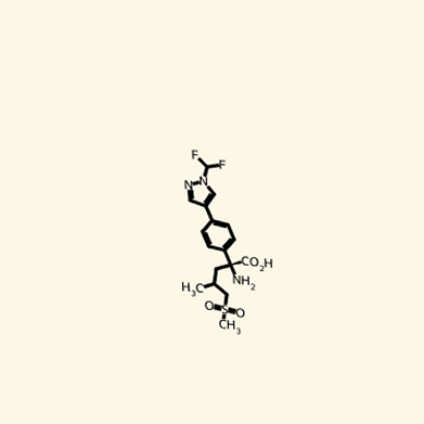 CC(C[C@](N)(C(=O)O)c1ccc(-c2cnn(C(F)F)c2)cc1)CS(C)(=O)=O